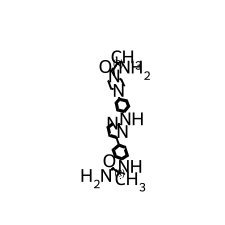 C[C@@H](N)C(=O)N1CCN(c2ccc(Nc3nccc(-c4ccc(N[C@H](C)C(N)=O)cc4)n3)cc2)CC1